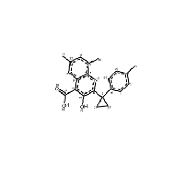 Cc1ccc(C2(c3nc4c(C)cc(C)cc4c(C(=O)O)c3O)CC2)cc1